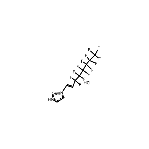 Cl.FC(F)(F)C(F)(F)C(F)(F)C(F)(F)C(F)(F)C(F)(F)C=Cn1[c-][nH+]cc1